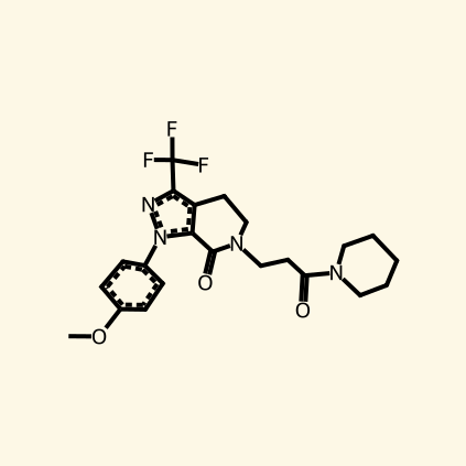 COc1ccc(-n2nc(C(F)(F)F)c3c2C(=O)N(CCC(=O)N2CCCCC2)CC3)cc1